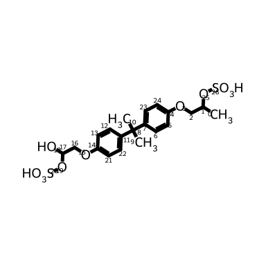 CC(COc1ccc(C(C)(C)c2ccc(OCC(O)OS(=O)(=O)O)cc2)cc1)OS(=O)(=O)O